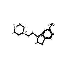 O=Nc1ccc2c(c1)N(CCN1CCOCC1)CC2